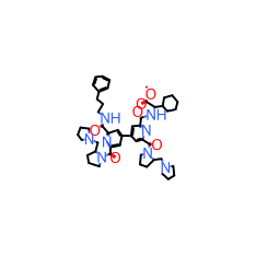 COC(=O)C(NC(=O)c1cc(-c2cc(C(=O)NCCCc3ccccc3)nc(C(=O)N3CCCC3CN3CCCC3)c2)cc(C(=O)N2CCCC2CN2CCCC2)n1)C1CCCCC1